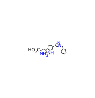 NC(Cc1c[nH]c2cc(-c3cnn(Cc4ccccc4)c3)ccc12)C(=O)O